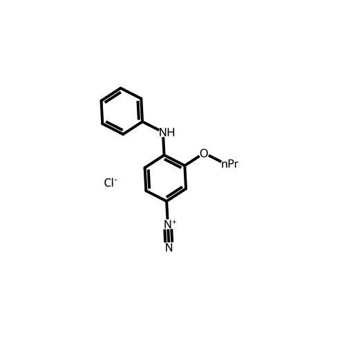 CCCOc1cc([N+]#N)ccc1Nc1ccccc1.[Cl-]